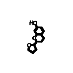 Oc1ccc2c(c1)OC(C1CCCO1)CC2